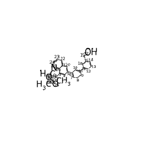 CC(C)(c1cc(-c2cccc(-c3cccc(CO)c3)c2)cc2cccnc12)S(C)(=O)=O